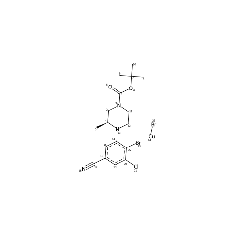 C[C@H]1CN(C(=O)OC(C)(C)C)CCN1c1cc(C#N)cc(Cl)c1Br.[Cu][Br]